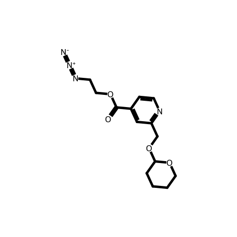 [N-]=[N+]=NCCOC(=O)c1ccnc(COC2CCCCO2)c1